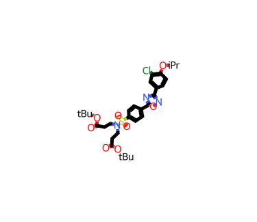 CC(C)Oc1ccc(-c2noc(-c3ccc(S(=O)(=O)N(CCC(=O)OC(C)(C)C)CCC(=O)OC(C)(C)C)cc3)n2)cc1Cl